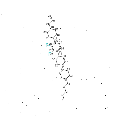 CCCCCC1CCC(C2C=CC(c3ccc(C4CCC(CCC)CC4)c(F)c3F)CC2)CC1